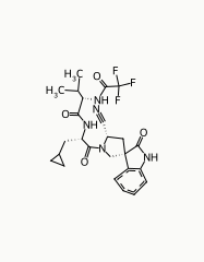 CC(C)[C@H](NC(=O)C(F)(F)F)C(=O)N[C@@H](CC1CC1)C(=O)N1C[C@]2(C[C@H]1C#N)C(=O)Nc1ccccc12